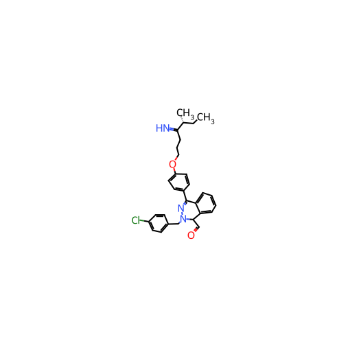 CC[C@@H](C)C(=N)CCCOc1ccc(C2=NN(Cc3ccc(Cl)cc3)C(C=O)c3ccccc32)cc1